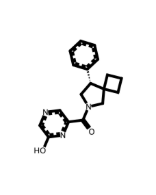 O=C(c1cncc(O)n1)N1C[C@H](c2ccccc2)C2(CCC2)C1